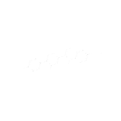 CCCCCc1ccc2c(F)c(-c3ccc(-c4ccc(C(F)(F)F)cc4)c(F)c3)ccc2c1